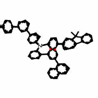 CC1(C)c2ccccc2-c2ccc(-c3ccc(N(c4ccc(-c5cccc(-c6ccccc6)c5)cc4)c4ccccc4-c4cccc(-c5cccc6ccccc56)c4)cc3)cc21